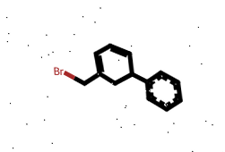 BrCC1=CC=CC(c2ccccc2)C1